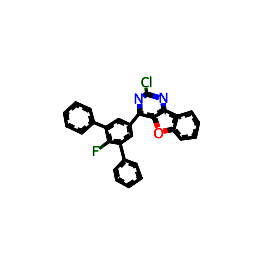 Fc1c(-c2ccccc2)cc(-c2nc(Cl)nc3c2oc2ccccc23)cc1-c1ccccc1